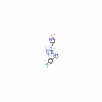 COc1ccc(CNc2ncnc(N3CCCC3c3ccc(C(F)(F)F)cc3)c2F)cn1